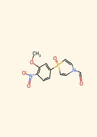 COc1cc(P2(=O)C=CN(C=O)C=C2)ccc1[N+](=O)[O-]